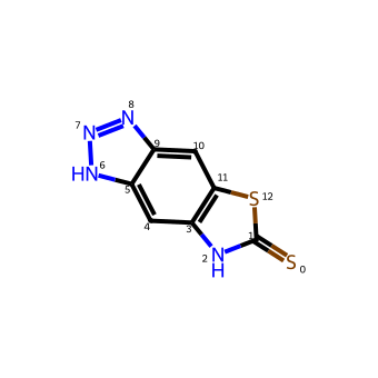 S=c1[nH]c2cc3[nH]nnc3cc2s1